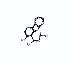 C=C(CC)/N=C(/C)c1c(CCC)ccc2c1oc1ncccc12